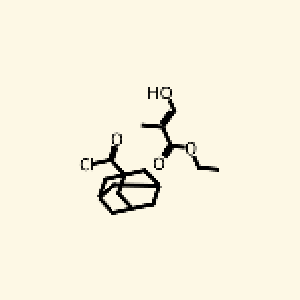 CCOC(=O)C(C)=CO.O=C(Cl)C12CC3CC(CC(C3)C1)C2